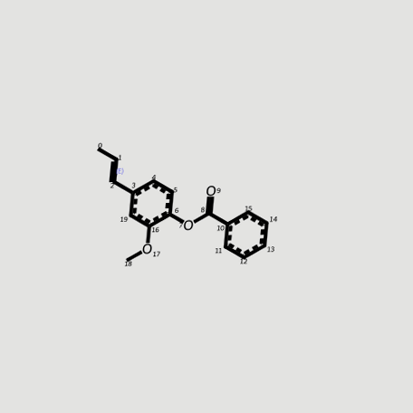 C/C=C/c1ccc(OC(=O)c2ccccc2)c(OC)c1